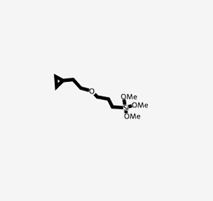 CO[Si](CCCOCCC1CC1)(OC)OC